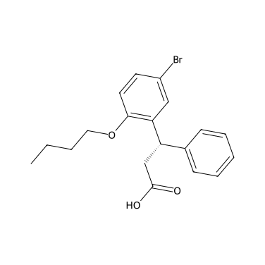 CCCCOc1ccc(Br)cc1[C@@H](CC(=O)O)c1ccccc1